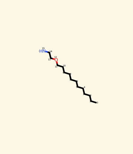 CCCCCCCCCCCCOCC[NH]